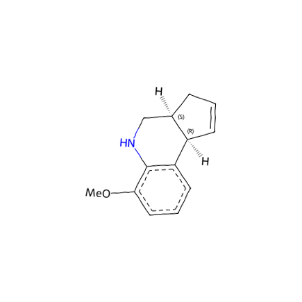 COc1cccc2c1NC[C@H]1CC=C[C@@H]21